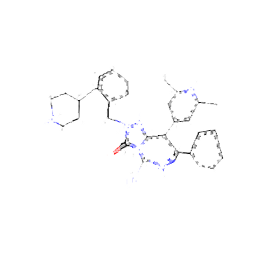 Cc1cc(-c2c(-c3ccccc3)nc(N)[n+]3c(=O)n(Cc4ccccc4C4CCNCC4)[nH]c23)cc(C)n1